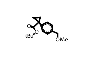 COCc1ccc(C2(C(=O)OC(C)(C)C)CC2)cc1